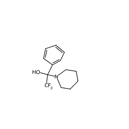 OC(c1ccccc1)(N1CCCCC1)C(F)(F)F